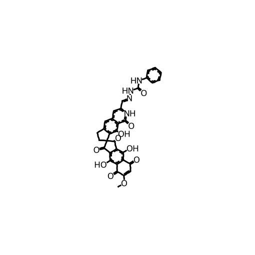 COC1=CC(=O)c2c(O)c3c(c(O)c2C1=O)C(=O)C1(CCc2cc4cc(C=NNC(=O)Nc5ccccc5)[nH]c(=O)c4c(O)c21)C3=O